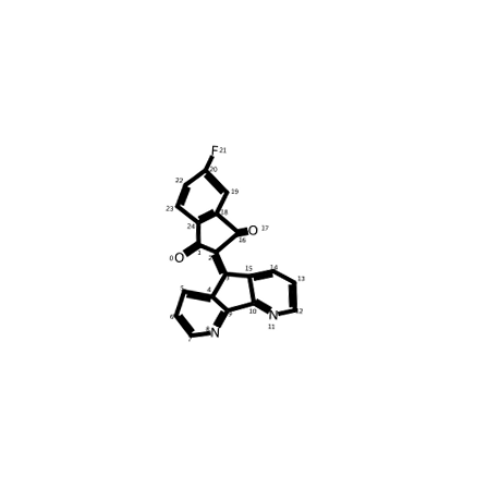 O=C1C(=C2c3cccnc3-c3ncccc32)C(=O)c2cc(F)ccc21